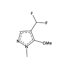 COc1c(C(F)F)[c]nn1C